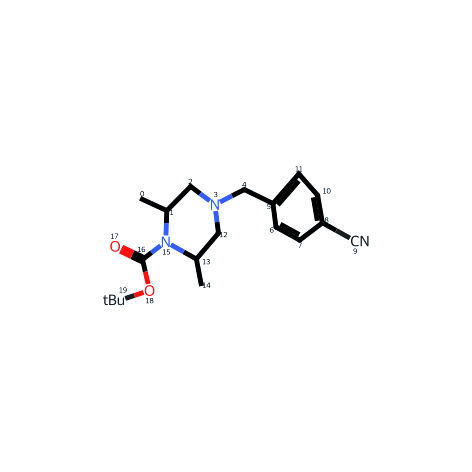 CC1CN(Cc2ccc(C#N)cc2)CC(C)N1C(=O)OC(C)(C)C